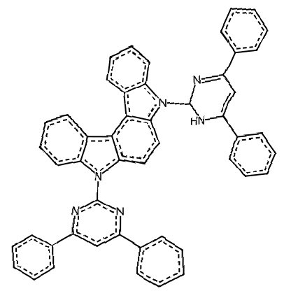 C1=C(c2ccccc2)NC(n2c3ccccc3c3c4c5ccccc5n(-c5nc(-c6ccccc6)cc(-c6ccccc6)n5)c4ccc32)N=C1c1ccccc1